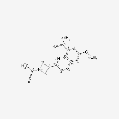 COc1cc(C(N)=O)c2nc(C3CN(C(C)=O)C3)ccc2c1